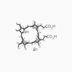 C/C=c1\c(C)c2[nH]\c1=C/c1[nH]c(c(CCC(=O)O)c1C)/C=c1\[nH]/c(c(C)c1CCC(=O)O)=C\c1[nH]c(/c(=C/C)c1C)=C\2.[Zn]